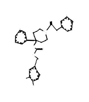 O=C(NCc1ccc(F)c(F)c1)OC1(c2ccccc2)CCN(C(=O)Cc2ccccc2)CC1